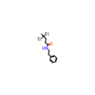 CCC(C)(CC)CCC(=O)NCCc1ccccc1